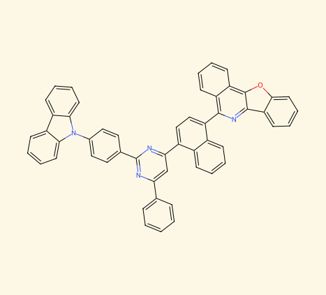 c1ccc(-c2cc(-c3ccc(-c4nc5c6ccccc6oc5c5ccccc45)c4ccccc34)nc(-c3ccc(-n4c5ccccc5c5ccccc54)cc3)n2)cc1